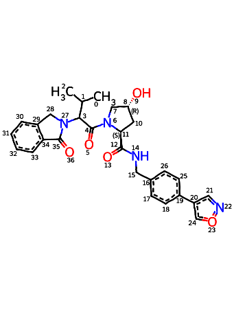 CC(C)C(C(=O)N1C[C@H](O)C[C@H]1C(=O)NCc1ccc(-c2cnoc2)cc1)N1Cc2ccccc2C1=O